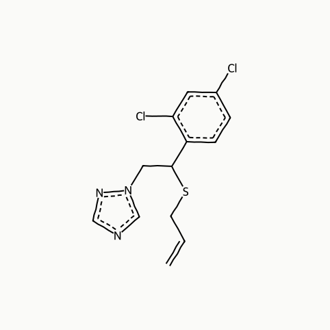 C=CCSC(Cn1cncn1)c1ccc(Cl)cc1Cl